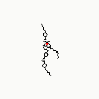 CCCCCCC1CCC(c2nnc(-c3ccc(C(CCCC(C)(C)CCCC)OC(CCCC(C)(C)CCCC)c4ccc(-c5nnc(C6CCC(CCCCCC)CC6)s5)cc4)cc3)s2)CC1